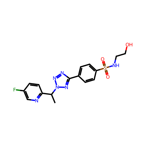 CC(c1ccc(F)cn1)n1nnc(-c2ccc(S(=O)(=O)NCCO)cc2)n1